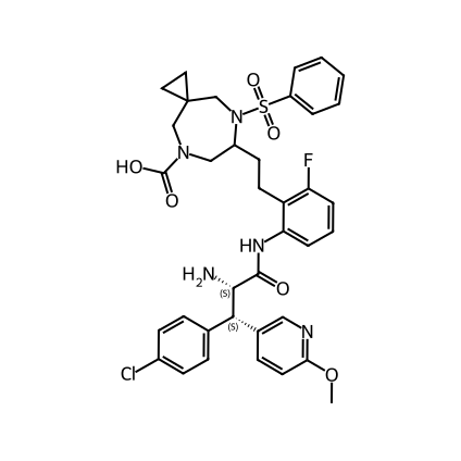 COc1ccc([C@H](c2ccc(Cl)cc2)[C@H](N)C(=O)Nc2cccc(F)c2CCC2CN(C(=O)O)CC3(CC3)CN2S(=O)(=O)c2ccccc2)cn1